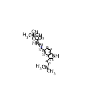 CN(C)CCc1c[nH]c2ccc(/C=N/NC(=O)OC(C)(C)C)cc12